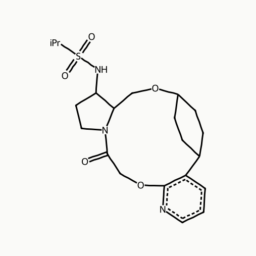 CC(C)S(=O)(=O)NC1CCN2C(=O)COc3ncccc3C3CCC(CC3)OCC12